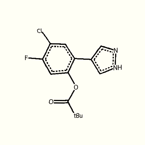 CC(C)(C)C(=O)Oc1cc(F)c(Cl)cc1-c1cn[nH]c1